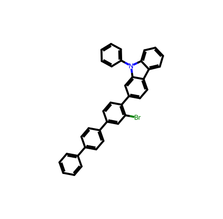 Brc1cc(-c2ccc(-c3ccccc3)cc2)ccc1-c1ccc2c3ccccc3n(-c3ccccc3)c2c1